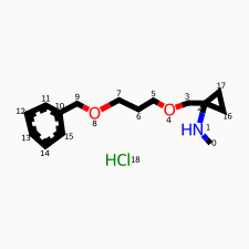 CNC1(COCCCOCc2ccccc2)CC1.Cl